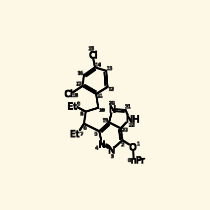 CCCOc1nnc(C(CC)C(CC)Cc2ccc(Cl)cc2Cl)c2nc[nH]c12